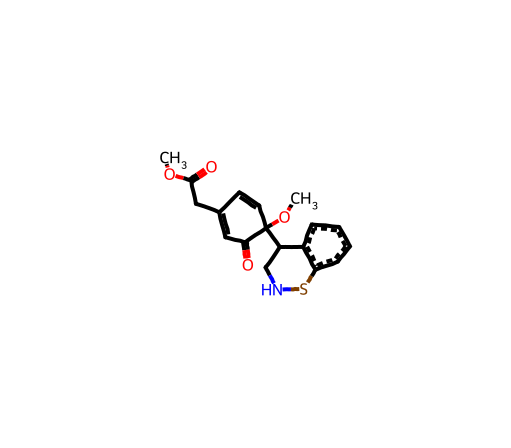 COC(=O)CC1=CC(=O)C(OC)(C2CNSc3ccccc32)C=C1